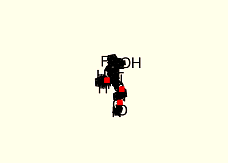 C#Cc1c(F)ccc2cc(O)cc(-c3ncc4c(N5C[C@H]6CC[C@@H](C5)N6)nc(OC[C@]56CCCN5[C@@H](COC(=O)N(C)C)CC6)nc4c3F)c12